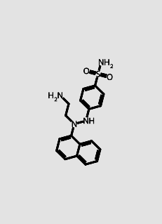 NCCN(Nc1ccc(S(N)(=O)=O)cc1)c1cccc2ccccc12